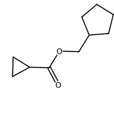 O=C(OCC1CCCC1)C1CC1